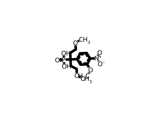 COCCC(CCOC)(c1ccc([N+](=O)[O-])c(OC)c1)P(=O)(O)O